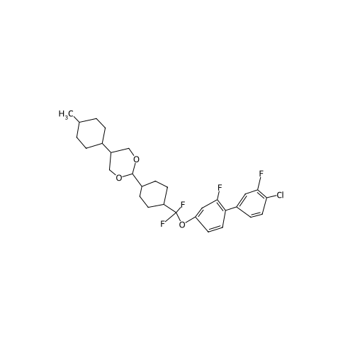 CC1CCC(C2COC(C3CCC(C(F)(F)Oc4ccc(-c5ccc(Cl)c(F)c5)c(F)c4)CC3)OC2)CC1